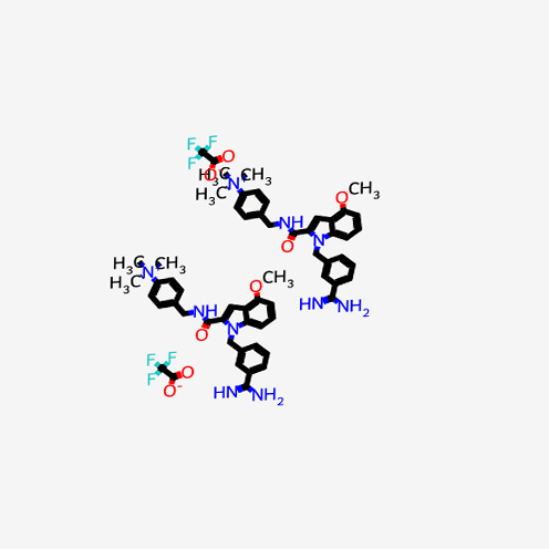 COc1cccc2c1cc(C(=O)NCc1ccc([N+](C)(C)C)cc1)n2Cc1cccc(C(=N)N)c1.COc1cccc2c1cc(C(=O)NCc1ccc([N+](C)(C)C)cc1)n2Cc1cccc(C(=N)N)c1.O=C([O-])C(F)(F)F.O=C([O-])C(F)(F)F